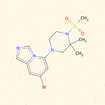 CC1(C)CN(c2cc(Br)cc3cncn23)CCN1S(C)(=O)=O